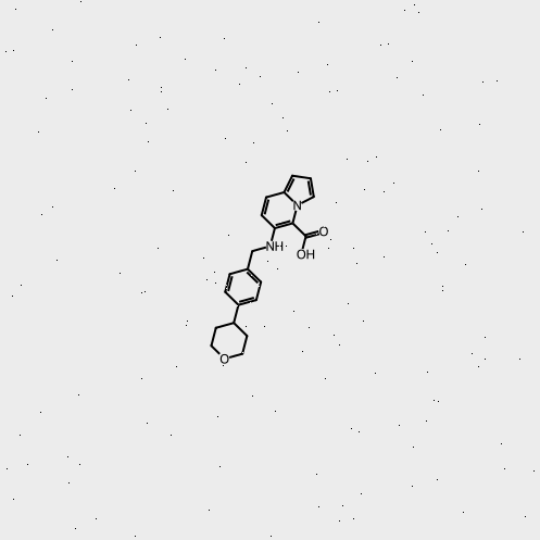 O=C(O)c1c(NCc2ccc(C3CCOCC3)cc2)ccc2cccn12